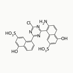 Nc1ccc2c(O)cc(S(=O)(=O)O)cc2c1-c1nc(Cl)nc(-c2cccc3c(O)cc(S(=O)(=O)O)cc23)n1